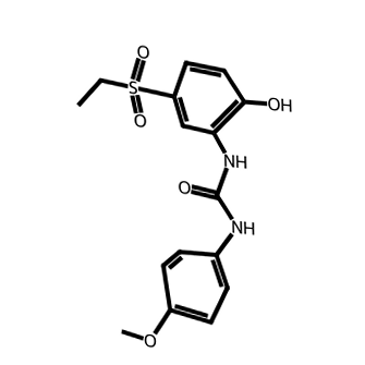 CCS(=O)(=O)c1ccc(O)c(NC(=O)Nc2ccc(OC)cc2)c1